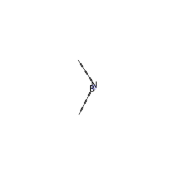 CC#CC#CC#C/B=N/C#CC#CC#CC